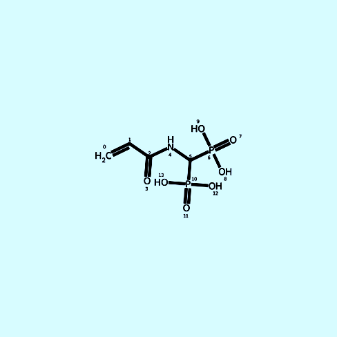 C=CC(=O)NC(P(=O)(O)O)P(=O)(O)O